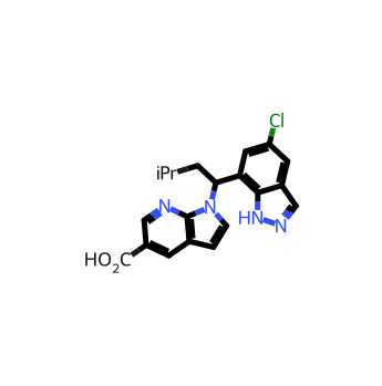 CC(C)CC(c1cc(Cl)cc2cn[nH]c12)n1ccc2cc(C(=O)O)cnc21